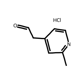 Cc1cc(CC=O)ccn1.Cl